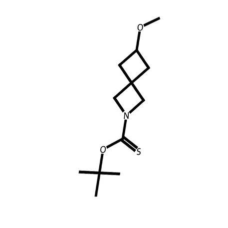 COC1CC2(C1)CN(C(=S)OC(C)(C)C)C2